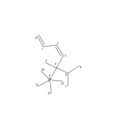 C=C/C=C\C(C)(C(C)C)P(C)(C)(C)C